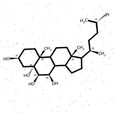 CC(C)[C@@H](C)CC[C@@H](C)C1CCC2C3C(CC[C@@]21C)[C@@]1(C)CC[C@H](O)C[C@]1(O)[C@H](O)[C@@H]3O